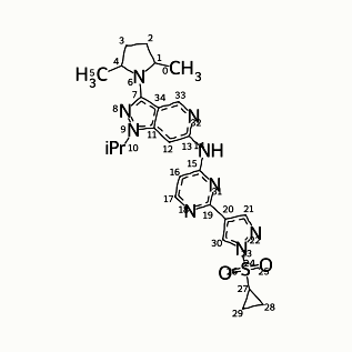 CC1CCC(C)N1c1nn(C(C)C)c2cc(Nc3ccnc(-c4cnn(S(=O)(=O)C5CC5)c4)n3)ncc12